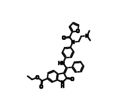 CCOC(=O)c1ccc2c(c1)NC(=O)/C2=C(/Nc1ccc(N(CCN(C)C)C(=O)c2ccco2)cc1)c1ccccc1